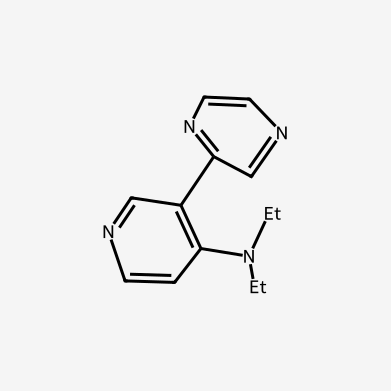 CCN(CC)c1ccncc1-c1cnccn1